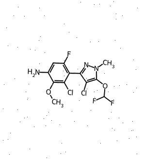 COc1c(N)cc(F)c(-c2nn(C)c(OC(F)F)c2Cl)c1Cl